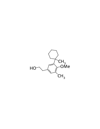 COc1c(C)cc(CCO)cc1C1(C)CCCCC1